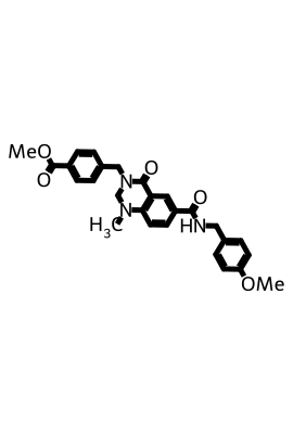 COC(=O)c1ccc(CN2CN(C)c3ccc(C(=O)NCc4ccc(OC)cc4)cc3C2=O)cc1